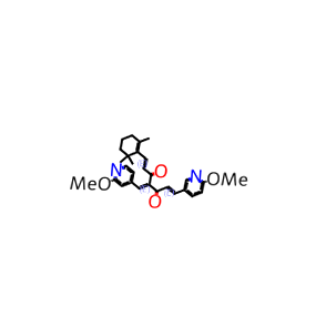 COc1ccc(/C=C/C(=O)/C(=C/c2ccnc(OC)c2)C(=O)/C=C/C2=C(C)CCCC2(C)C)cn1